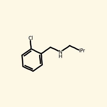 CC(C)CNCc1ccccc1Cl